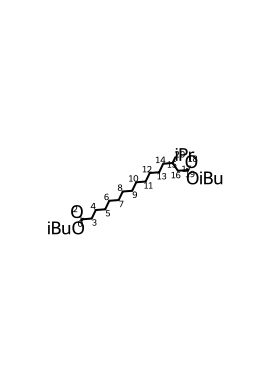 CC(C)COC(=O)CCCCCCCCCCCCC(CC(=O)OCC(C)C)C(C)C